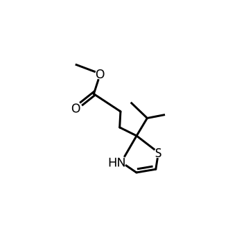 COC(=O)CCC1(C(C)C)NC=CS1